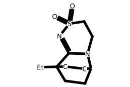 CCC12CCC(CC1)N1CCS(=O)(=O)N=C12